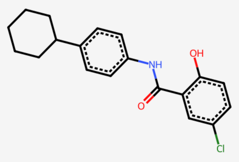 O=C(Nc1ccc(C2CCCCC2)cc1)c1cc(Cl)ccc1O